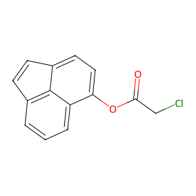 O=C(CCl)Oc1ccc2c3c(cccc13)C=C2